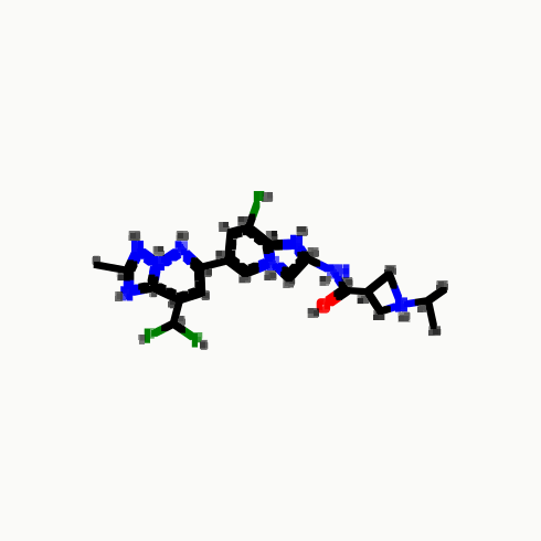 Cc1nc2c(C(F)F)cc(-c3cc(F)c4nc(NC(=O)C5CN(C(C)C)C5)cn4c3)nn2n1